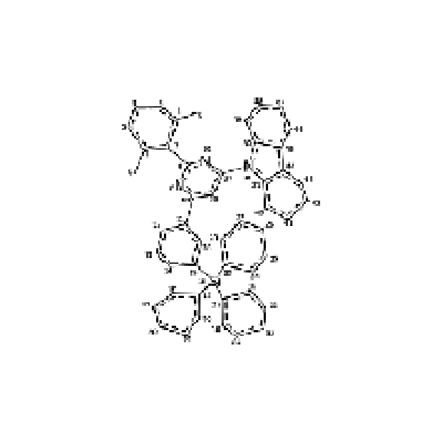 Cc1cccc(C)c1-c1nc(-c2cccc([Si](c3ccccc3)(c3ccccc3)c3ccccc3)c2)cc(-n2c3ccccc3c3ccccc32)n1